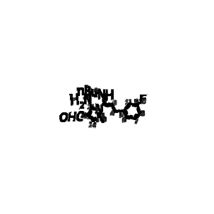 CCCCN/C(=C/Cc1cccc(F)c1)n1ncc(C=O)c1N